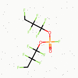 O=P(F)(OC(F)(F)C(F)(F)CF)OC(F)(F)C(F)(F)CF